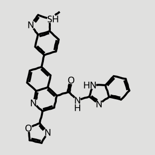 C[SH]1C=Nc2cc(-c3ccc4nc(-c5ncco5)cc(C(=O)Nc5nc6ccccc6[nH]5)c4c3)ccc21